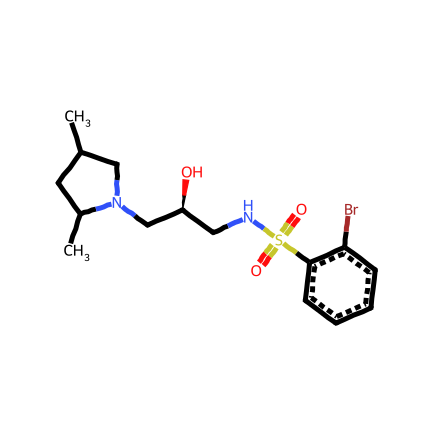 CC1CC(C)N(C[C@@H](O)CNS(=O)(=O)c2ccccc2Br)C1